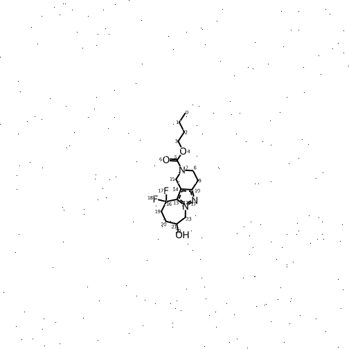 CCCCOC(=O)N1CCc2nn3c(c2C1)C(F)(F)CCC(O)C3